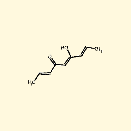 C/C=C/C(=O)/C=C(O)/C=C/C